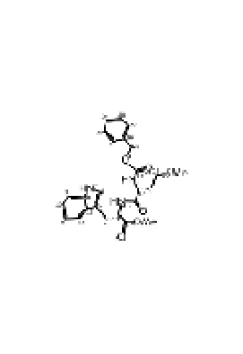 COC(=O)[C@H](Cc1c[nH]c2ccccc12)NC(=O)[C@@H](CCSC)NC(=O)OCc1ccccc1